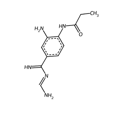 CCC(=O)Nc1ccc(C(=N)/N=C/N)cc1N